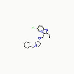 CCc1nc2ccc(Cl)cn2c1CNC1CCN(CC2C=CC=CC2)C1